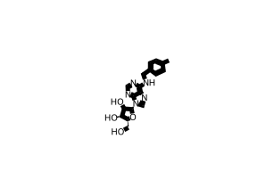 Cc1ccc(CNc2ncnc3c2ncn3[C@@H]2O[C@H](CO)[C@H](O)C2O)cc1